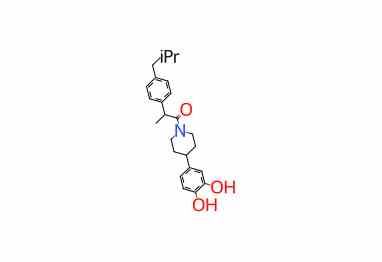 CC(C)Cc1ccc(C(C)C(=O)N2CCC(c3ccc(O)c(O)c3)CC2)cc1